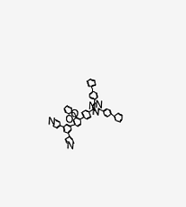 C1=CC2Oc3c(-c4ccc(-c5nc(-c6ccc(-c7ccccc7)cc6)nc(-c6ccc(-c7ccccc7)cc6)n5)cc4)ccc(-c4cc(-c5ccncc5)cc(-c5ccncc5)c4)c3OC2C=C1